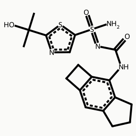 CC(C)(O)c1ncc(S(N)(=O)=NC(=O)Nc2c3c(cc4c2CC4)CCC3)s1